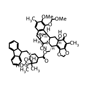 COCOc1c(OC)c(C)cc2c1[C@@H]1N[C@H](C2)[C@H](C#N)N2C1C[C@]1(O)C(=O)C(C)=C3OCOC3=C1[C@@H]2COC(=O)C(CSCC1c2ccccc2-c2ccccc21)CC(C)(C)[Si](C)(C)O